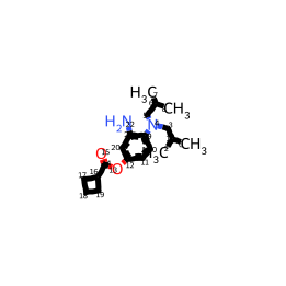 CC(C)CN(CC(C)C)c1ccc(OC(=O)C2CCC2)cc1N